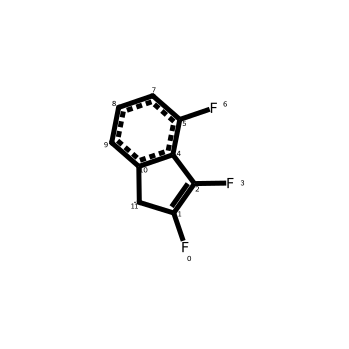 FC1=C(F)c2c(F)cccc2[CH]1